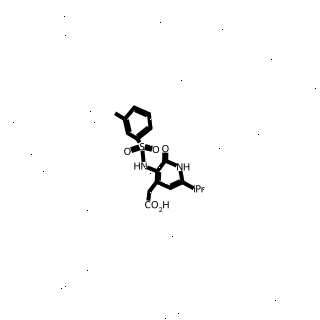 Cc1cccc(S(=O)(=O)Nc2c(CC(=O)O)cc(C(C)C)[nH]c2=O)c1